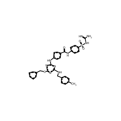 Cc1ccc(CNc2nc(Nc3ccc(C(=O)Nc4ccc(S(=O)(=O)NC(=N)N)cc4)cc3)nc(OCc3ccccc3)n2)cc1